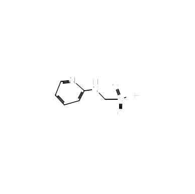 O=S(=O)(O)[CH]Nc1ccccn1